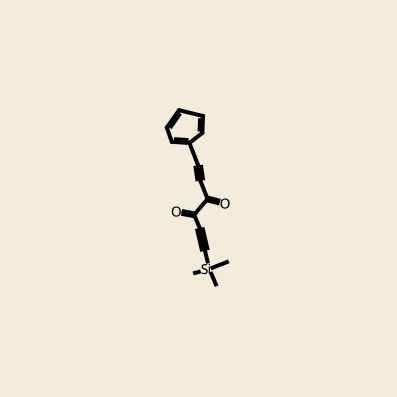 C[Si](C)(C)C#CC(=O)C(=O)C#Cc1ccccc1